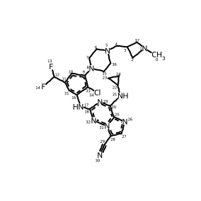 CN1CC(CN2CCN(c3cc(C(F)F)cc(Nc4nc(NC5CC5)c5ncc(C#N)n5n4)c3Cl)CC2)C1